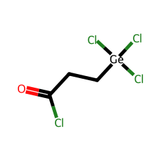 O=C(Cl)C[CH2][Ge]([Cl])([Cl])[Cl]